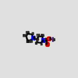 O=C(OI)N1CCC(N2CCCCC2)CC1